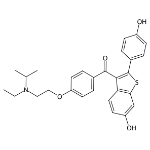 CCN(CCOc1ccc(C(=O)c2c(-c3ccc(O)cc3)sc3cc(O)ccc23)cc1)C(C)C